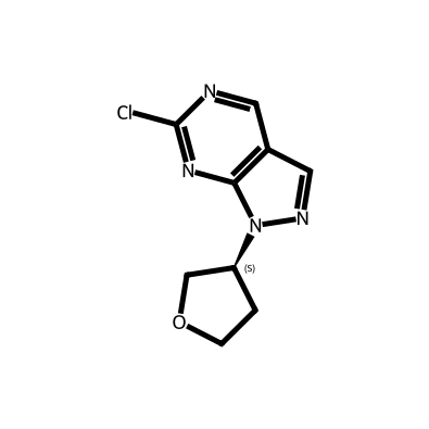 Clc1ncc2cnn([C@H]3CCOC3)c2n1